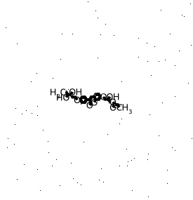 CCC(=O)OCC(O)COC1=CC2OC(=O)C(c3ccc(OCCC(O)C(O)CC)cc3)=CC2C=C1